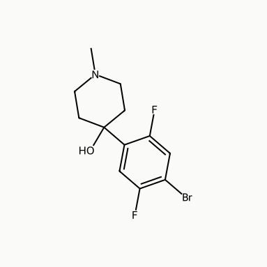 CN1CCC(O)(c2cc(F)c(Br)cc2F)CC1